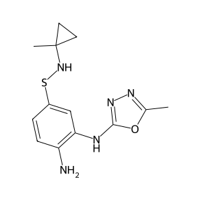 Cc1nnc(Nc2cc(SNC3(C)CC3)ccc2N)o1